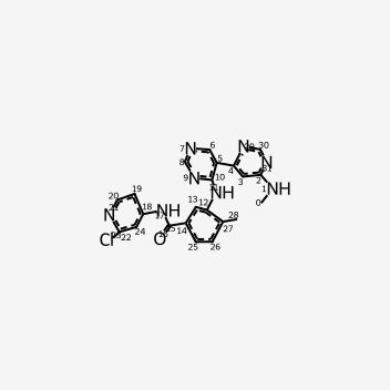 CNc1cc(-c2cncnc2Nc2cc(C(=O)Nc3ccnc(Cl)c3)ccc2C)ncn1